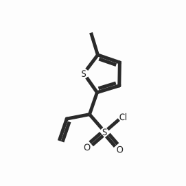 C=CC(c1ccc(C)s1)S(=O)(=O)Cl